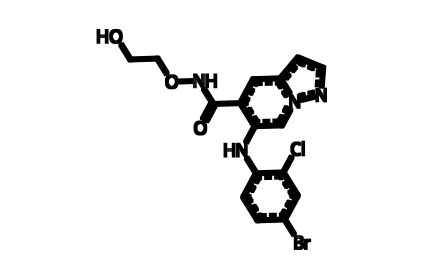 O=C(NOCCO)c1cc2ccnn2cc1Nc1ccc(Br)cc1Cl